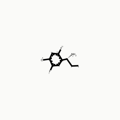 CC[C@@H](N)c1cc(F)c(Cl)cc1F